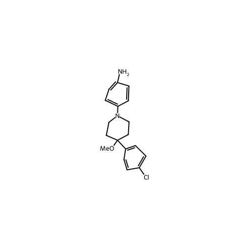 COC1(c2ccc(Cl)cc2)CCN(c2ccc(N)cc2)CC1